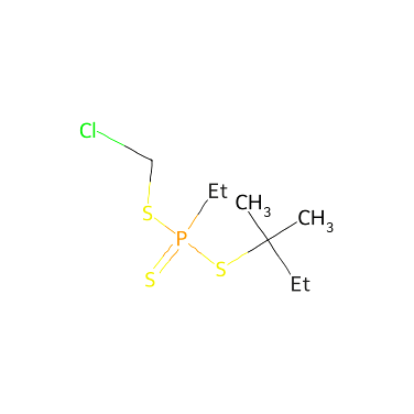 CCC(C)(C)SP(=S)(CC)SCCl